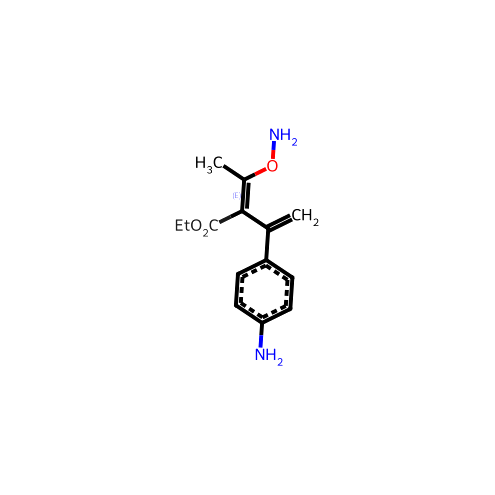 C=C(/C(C(=O)OCC)=C(/C)ON)c1ccc(N)cc1